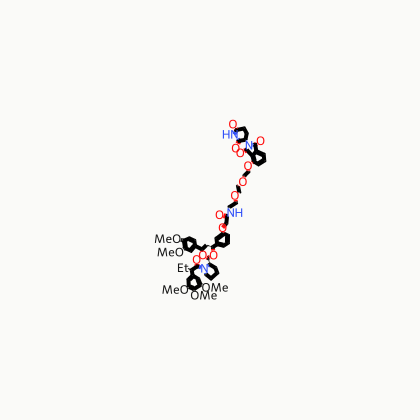 CC[C@H](C(=O)N1CCCC[C@H]1C(=O)O[C@H](CCc1ccc(OC)c(OC)c1)c1cccc(OCC(=O)NCCOCCOCCOc2cccc3c2C(=O)N(C2CCC(=O)NC2=O)C3=O)c1)c1cc(OC)c(OC)c(OC)c1